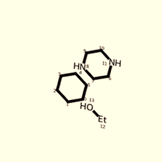 C1CCCCC1.C1CNCCN1.CCO